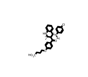 CC(=O)N(c1ccc(Cl)cc1)[C@H]1c2ccccc2N[C@@H](C)C1C(=O)c1ccc(OCCCC(=O)O)cc1